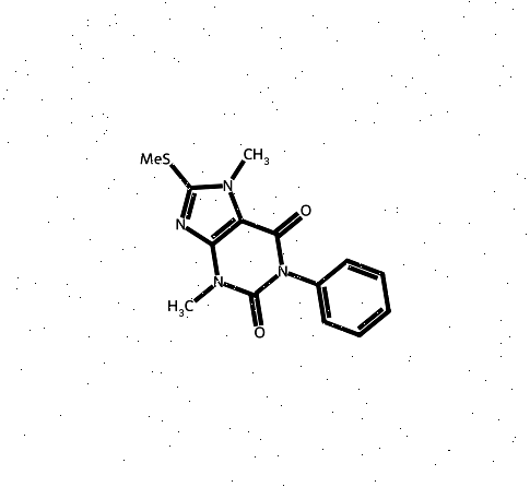 CSc1nc2c(c(=O)n(-c3ccccc3)c(=O)n2C)n1C